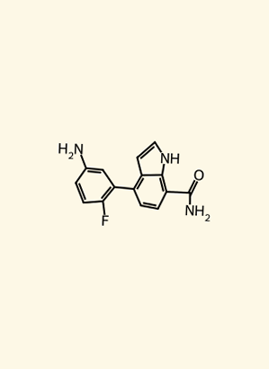 NC(=O)c1ccc(-c2cc(N)ccc2F)c2cc[nH]c12